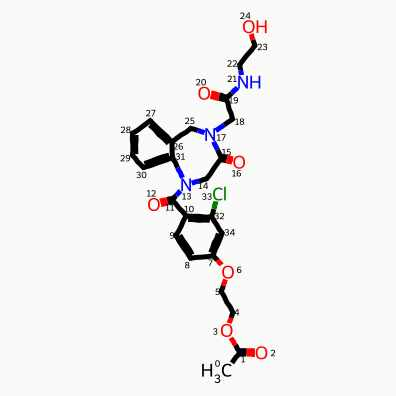 CC(=O)OCCOc1ccc(C(=O)N2CC(=O)N(CC(=O)NCCO)Cc3ccccc32)c(Cl)c1